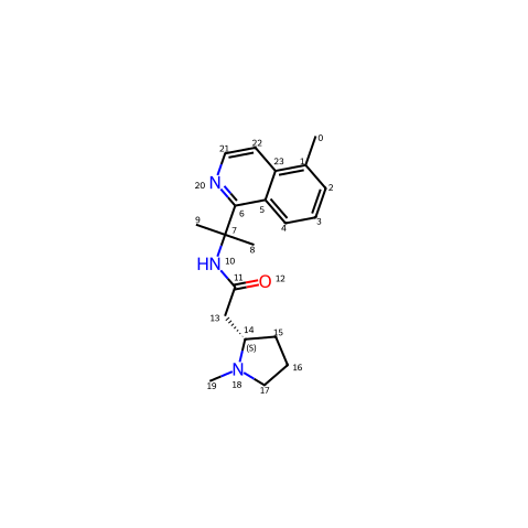 Cc1cccc2c(C(C)(C)NC(=O)C[C@@H]3CCCN3C)nccc12